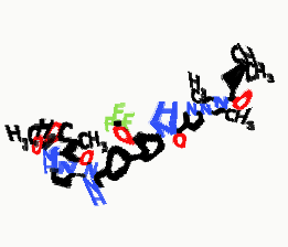 COC(=O)N[C@H](C(=O)N1CCC[C@H]1c1nc(-c2ccc(-c3ccc(NC(=O)c4ccc(N5C[C@H](C)N(C(=O)[C@H]6CC6(C)C)C[C@H]5C)nc4)cc3OC(F)(F)F)cc2)c[nH]1)C(C)C